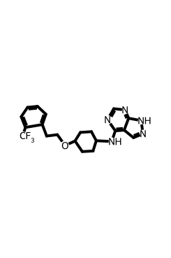 FC(F)(F)c1ccccc1CCOC1CCC(Nc2ncnc3[nH]ncc23)CC1